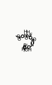 CCOC(=O)c1ccc(NC(=O)Nc2ccc(C(=O)N3CCN(Cc4ccc(C(O)(C(F)(F)F)C(F)(F)F)cc4)CC3)cc2F)cc1